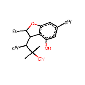 CCCc1cc(O)c2c(c1)OC(CC)C2C(CCC)C(C)(C)O